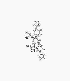 N#CC(C#N)=C1c2cc(-c3cccs3)ccc2-c2cc3c(cc21)C(=C(C#N)C#N)c1cc(-c2cccs2)ccc1-3